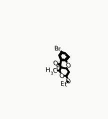 CCOC1CC2Oc3ccc(Br)cc3C(=O)[C@H]2C(C)O1